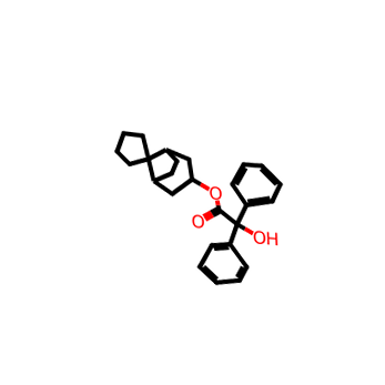 O=C(OC1CC2CCC(C1)C21CCCC1)C(O)(c1ccccc1)c1ccccc1